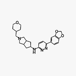 c1cc2c(cc1-c1ccc(NC3CC4CN(CC5CCOCC5)CC4C3)nn1)OCO2